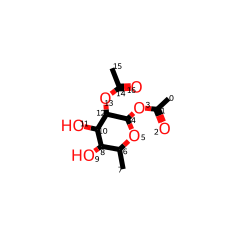 CC(=O)OC1OC(C)C(O)C(O)C1OC(C)=O